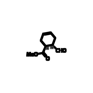 COC(=O)[C@H]1CC=CC[C@@H]1C=O